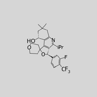 CC(C)c1nc2c(c3c1[C@@H](c1ccc(C(F)(F)F)c(F)c1)OC31CCOCC1)C(O)CC(C)(C)C2